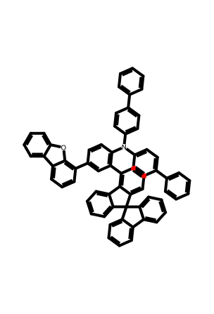 c1ccc(-c2ccc(N(c3ccc(-c4ccccc4)cc3)c3ccc(-c4cccc5c4oc4ccccc45)cc3-c3cccc4c3-c3ccccc3C43c4ccccc4-c4ccccc43)cc2)cc1